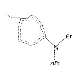 CCCN(CC)c1ccc(C)cc1